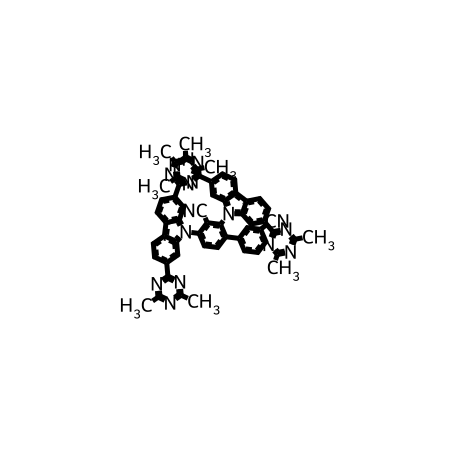 Cc1nc(C)nc(-c2ccc3c4ccc(-c5nc(C)nc(C)n5)cc4n(-c4ccc(-c5cccc(C#N)c5)c(-n5c6cc(-c7nc(C)nc(C)n7)ccc6c6ccc(-c7nc(C)nc(C)n7)cc65)c4C#N)c3c2)n1